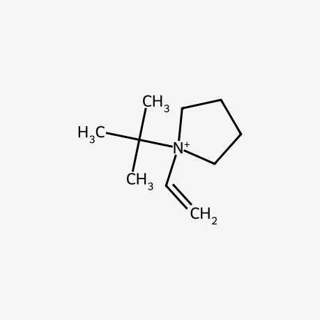 C=C[N+]1(C(C)(C)C)CCCC1